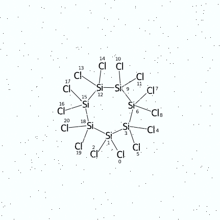 Cl[Si]1(Cl)[Si](Cl)(Cl)[Si](Cl)(Cl)[Si](Cl)(Cl)[Si](Cl)(Cl)[Si](Cl)(Cl)[Si]1(Cl)Cl